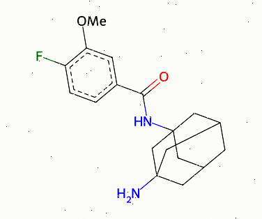 COc1cc(C(=O)NC23CC4CC(CC(N)(C4)C2)C3)ccc1F